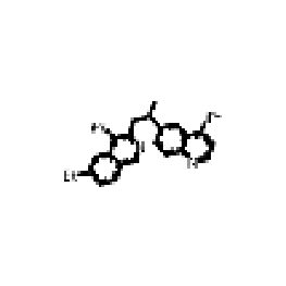 CCc1ccc2cnc(CC(C)c3ccc4nccc(C(C)C)c4c3)c(C(C)C)c2c1